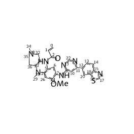 C=CC(=O)Nc1cc(Nc2cc(-c3ccc4ncsc4c3)ncn2)c(OC)cc1N(C)C1CCN(C)CC1